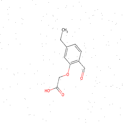 CCc1ccc(C=O)c(OCC(=O)O)c1